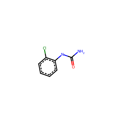 NC(=O)[N]c1ccccc1Cl